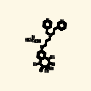 CCN1C(=O)C(CC)(CC)C(=O)N(CC)c2cc(OCCCN(CCc3cccnc3)Cc3ccncc3)ccc21.Cl.Cl.Cl